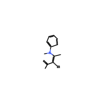 C=C(C)/C(CC)=C(/C)N(C)c1ccccc1